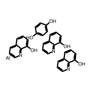 Oc1ccc(O)cc1.Oc1cccc2cccnc12.Oc1cccc2cccnc12.Oc1cccc2cccnc12.[Al]